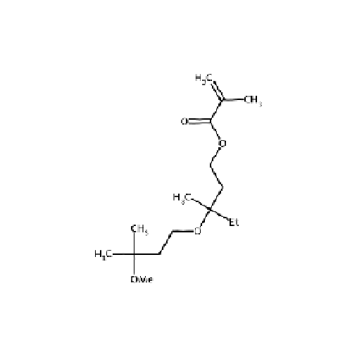 C=C(C)C(=O)OCCC(C)(CC)OCCC(C)(C)OC